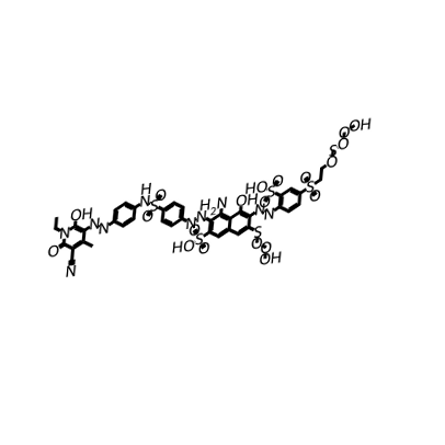 CCn1c(O)c(/N=N/c2ccc(NS(=O)(=O)c3ccc(/N=N/c4c(S(=O)(=O)O)cc5cc(SOOO)c(/N=N/c6ccc(S(=O)(=O)CCOSOOO)cc6S(=O)(=O)O)c(O)c5c4N)cc3)cc2)c(C)c(C#N)c1=O